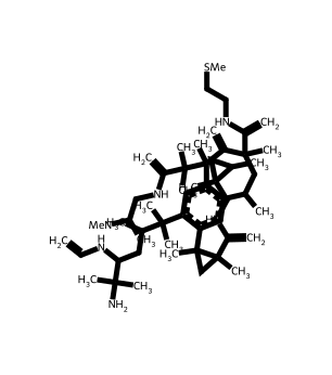 C=CNC(CC(C)C(C)(C)c1cc2c(cc1C1(C)CC1(C)C(=C)NCC1(C)CC1C)C(C)CC(C)(C(=C)NCCSC)C(=C)C2(C)C(C)(C)C(=C)NCC(C)NC)C(C)(C)N